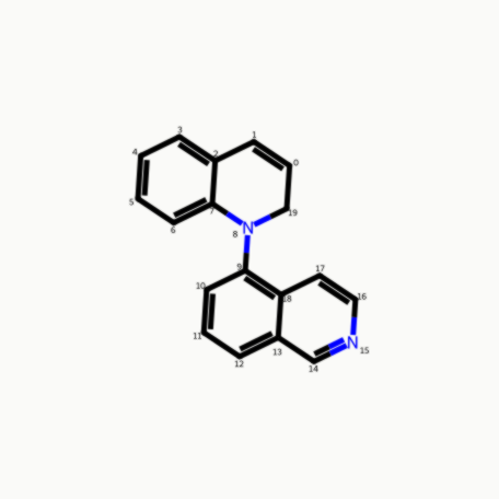 C1=Cc2ccccc2N(c2cccc3cnccc23)C1